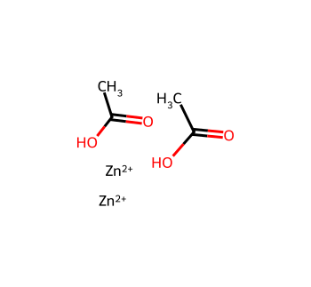 CC(=O)O.CC(=O)O.[Zn+2].[Zn+2]